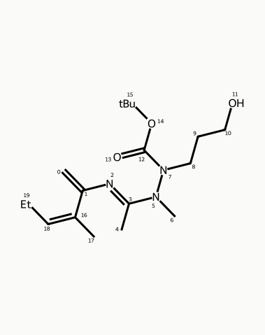 C=C(/N=C(\C)N(C)N(CCCO)C(=O)OC(C)(C)C)/C(C)=C\CC